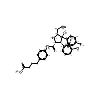 COC(=O)CCCc1ccc(NC(=O)[C@@H]2N[C@@H](CC(C)(C)C)[C@](C#N)(c3ccc(F)cc3)[C@H]2c2cccc(Cl)c2F)cc1